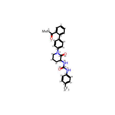 CNC(=O)c1ccccc1-c1ccc(N2CCCC(NC(=O)Nc3ccc(C(F)(F)F)cc3)C2=O)cc1